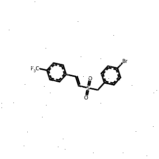 O=S(=O)(C=Cc1ccc(C(F)(F)F)cc1)Cc1ccc(Br)cc1